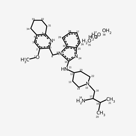 COc1cc2c(nc1Cn1c(NC3CCN(CC(N)C(C)C)CC3)nc3ccccc31)CCCC2.O.O.O.O